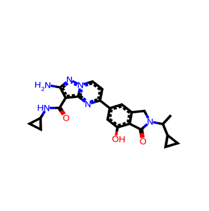 CC(C1CC1)N1Cc2cc(-c3ccn4nc(N)c(C(=O)NC5CC5)c4n3)cc(O)c2C1=O